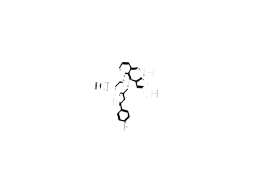 Cc1cc2c(s1)NC=c1cccnc1=C2N1CCNC(CCc2ccc(F)cc2)C1.Cl.Cl